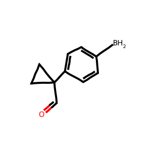 Bc1ccc(C2(C=O)CC2)cc1